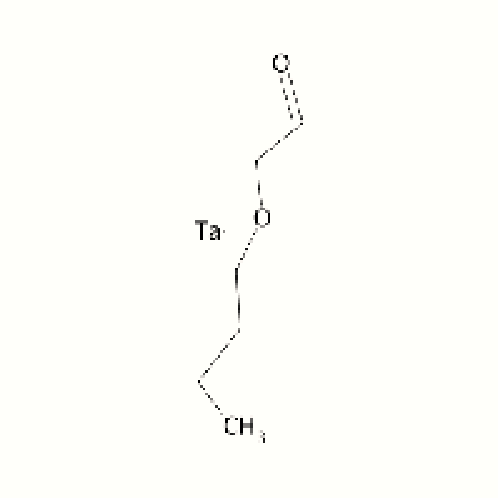 CCCCOCC=O.[Ta]